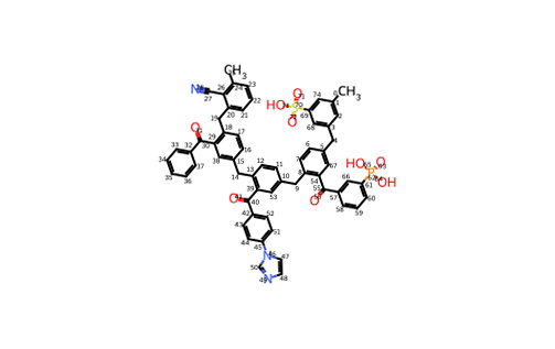 Cc1cc(Cc2ccc(Cc3ccc(Cc4ccc(Cc5cccc(C)c5C#N)c(C(=O)c5ccccc5)c4)c(C(=O)c4ccc(-n5ccnc5)cc4)c3)c(C(=O)c3cccc(P(=O)(O)O)c3)c2)cc(S(=O)(=O)O)c1